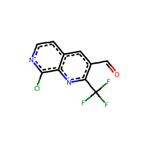 O=Cc1cc2ccnc(Cl)c2nc1C(F)(F)F